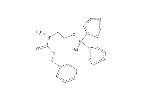 CN(CCO[Si](c1ccccc1)(c1ccccc1)C(C)(C)C)C(=O)OCc1ccccc1